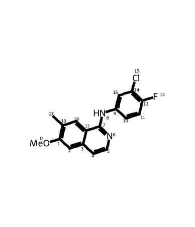 COc1cc2ccnc(Nc3ccc(F)c(Cl)c3)c2cc1C